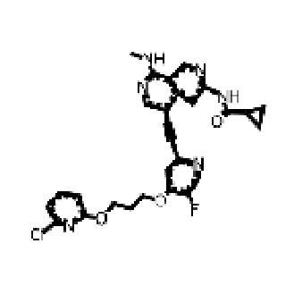 CNc1ncc(C#Cc2cc(OCCCOc3cccc(Cl)n3)c(F)cn2)c2cc(NC(=O)C3CC3)ncc12